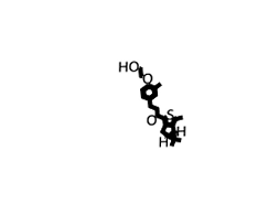 Cc1cc(CCC(=O)c2sc(C)c3c2C[C@@H]2[C@H]3C2(C)C)ccc1OCCO